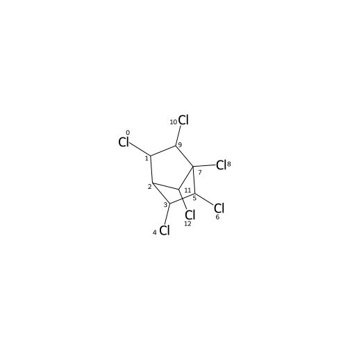 ClC1C2C(Cl)C(Cl)C(Cl)(C1Cl)C2Cl